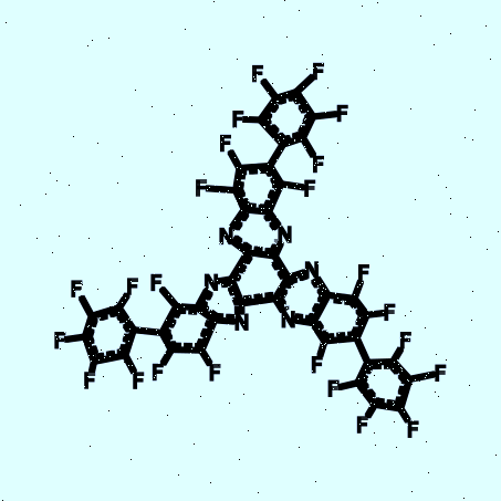 Fc1c(F)c(F)c(-c2c(F)c(F)c3nc4c5nc6c(F)c(-c7c(F)c(F)c(F)c(F)c7F)c(F)c(F)c6nc5c5nc6c(F)c(-c7c(F)c(F)c(F)c(F)c7F)c(F)c(F)c6nc5c4nc3c2F)c(F)c1F